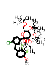 CCOc1ccc(Cc2cc([C@]3(O)O[C@H](CO[Si](C)(C)C)[C@@H](O[Si](C)(C)C)[C@H](O[Si](C)(C)C)[C@H]3O[Si](C)(C)C)ccc2Cl)c(F)c1F